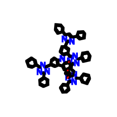 c1ccc(-c2cc(-c3ccccc3)nc(-c3ccc(-n4c5ccc(-c6nc(-c7ccccc7)nc(-c7ccccc7)n6)cc5c5cc(-c6nc(-c7ccccc7)nc(-c7ccccc7)n6)ccc54)c(-c4nc(-c5ccccc5)nc(-c5ccccc5)n4)c3)n2)cc1